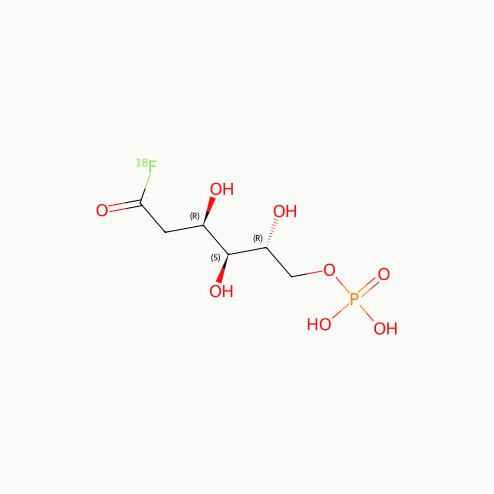 O=C([18F])C[C@@H](O)[C@H](O)[C@H](O)COP(=O)(O)O